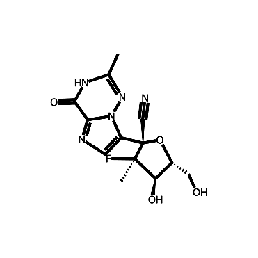 Cc1nn2c([C@]3(C#N)O[C@H](CO)[C@@H](O)[C@@]3(C)F)cnc2c(=O)[nH]1